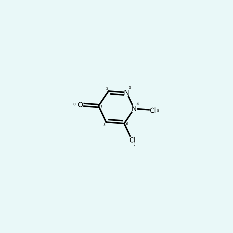 O=c1cnn(Cl)c(Cl)c1